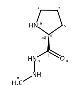 CNNC(=O)[C@@H]1CCCN1